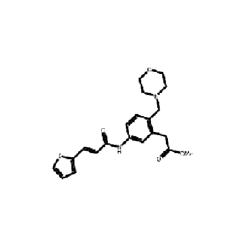 COC(=O)Cc1cc(NC(=O)/C=C/c2cccs2)ccc1CN1CCOCC1